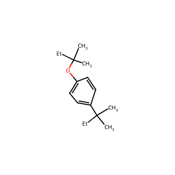 CCC(C)(C)Oc1ccc(C(C)(C)CC)cc1